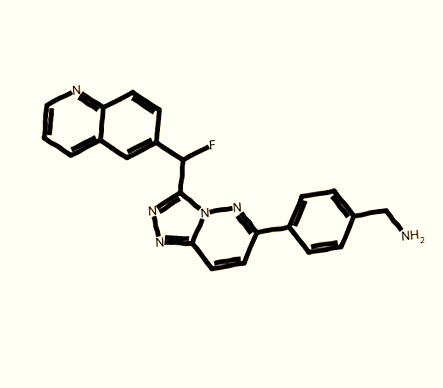 NCc1ccc(-c2ccc3nnc(C(F)c4ccc5ncccc5c4)n3n2)cc1